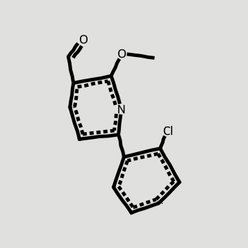 COc1nc(-c2cc[c]cc2Cl)ccc1C=O